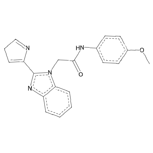 COc1ccc(NC(=O)Cn2c(C3=CCC=N3)nc3ccccc32)cc1